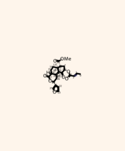 C/C=C/C(=O)O[C@H]1C[C@@H](C(=O)OC)[C@]2(C)CC[C@H]3C(=O)O[C@@H](c4ccoc4)C[C@]3(C)[C@H]2C1=O